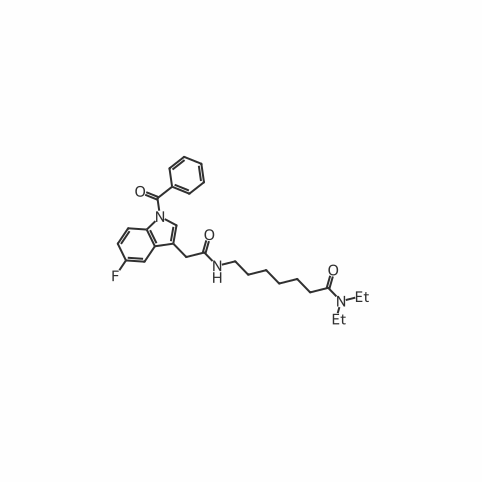 CCN(CC)C(=O)CCCCCCNC(=O)Cc1cn(C(=O)c2ccccc2)c2ccc(F)cc12